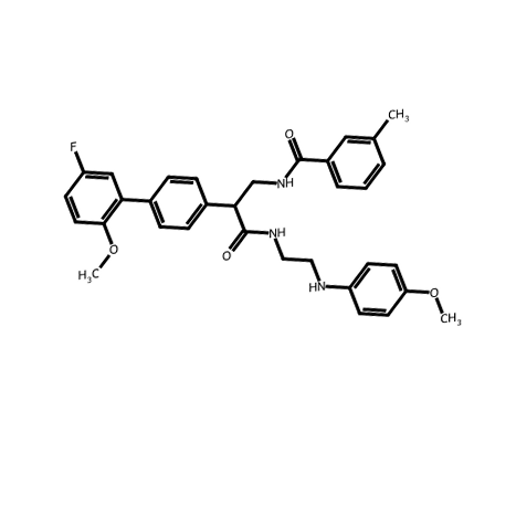 COc1ccc(NCCNC(=O)C(CNC(=O)c2cccc(C)c2)c2ccc(-c3cc(F)ccc3OC)cc2)cc1